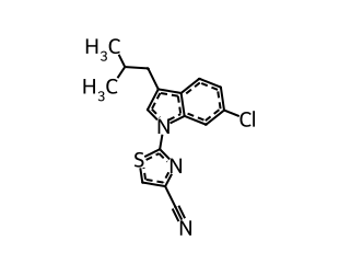 CC(C)Cc1cn(-c2nc(C#N)cs2)c2cc(Cl)ccc12